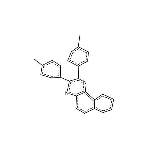 Cc1ccc(-c2nc3ccc4ccccc4c3nc2-c2ccc(C)cc2)cc1